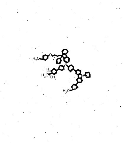 C=Cc1ccc(OCCCCC2(c3ccccc3)C3=C(CCC=C3)c3ccc(N(C4=CCC(C5=CCC(C(C)(C)C)C=C5)C=C4)C4=CC=C(c5ccc6c(c5)C5CC(C7=CCC(C=C)C=C7)=CC=C5N6c5ccccc5)CC4)cc32)cc1